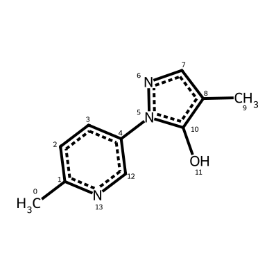 Cc1ccc(-n2ncc(C)c2O)cn1